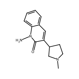 CN1CCC(c2cc3ccccc3n(N)c2=O)C1